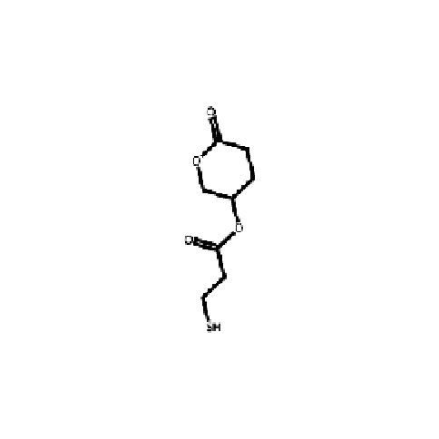 O=C1CCC(OC(=O)CCS)CO1